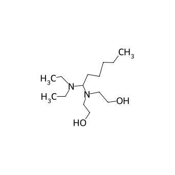 CCCCCC(N(CC)CC)N(CCO)CCO